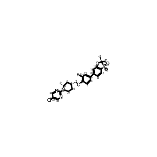 C[C@@H]1C[C@H](COc2ccc(-c3ccc4c(c3)O[C@](C)(F)S4(=O)=O)cc2F)CCN1c1ncc(Cl)cn1